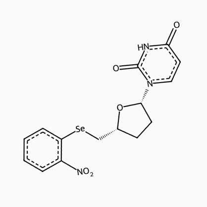 O=c1ccn([C@@H]2CC[C@H](C[Se]c3ccccc3[N+](=O)[O-])O2)c(=O)[nH]1